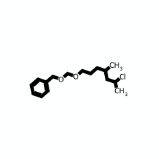 CC(Cl)CC(C)CCCOCOCc1ccccc1